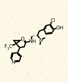 CN(C)[C@H](CNC(=O)CC(c1ccncc1)C1(C(F)(F)F)CC1)Cc1ccc(O)c(Cl)c1